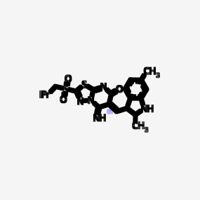 Cc1ccc2c(c1)NC(C)C2/C=C1/C(=N)N2N=C(S(=O)(=O)CC(C)C)SC2=NC1=O